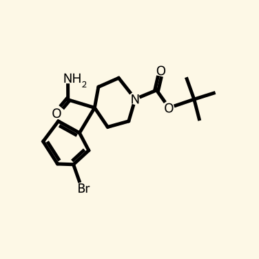 CC(C)(C)OC(=O)N1CCC(C(N)=O)(c2cccc(Br)c2)CC1